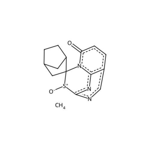 C.O=c1ccc2cnc3nc2n1C1(CC2CCC1C2)[S+]3[O-]